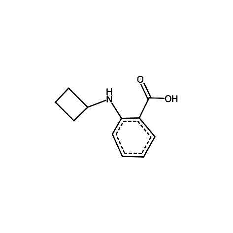 O=C(O)c1ccccc1NC1CCC1